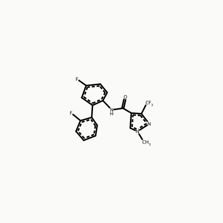 Cn1cc(C(=O)Nc2ccc(F)cc2-c2ccccc2F)c(C(F)(F)F)n1